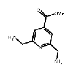 COC(=O)c1cc(CN)nc(CN)c1